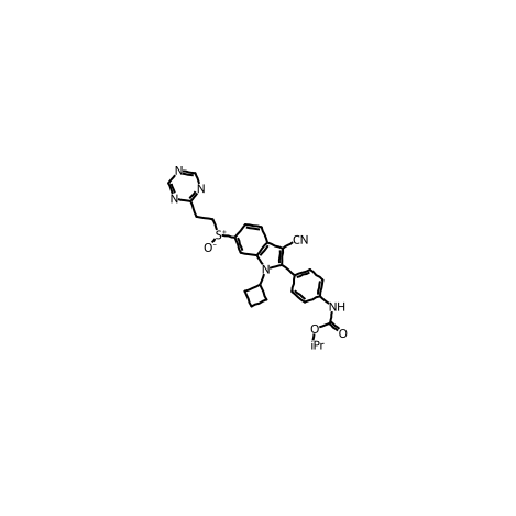 CC(C)OC(=O)Nc1ccc(-c2c(C#N)c3ccc([S+]([O-])CCc4ncncn4)cc3n2C2CCC2)cc1